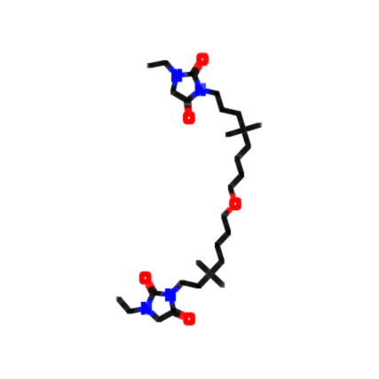 CCN1CC(=O)N(CCCC(C)(C)CCCCOCCCCC(C)(C)CCN2C(=O)CN(CC)C2=O)C1=O